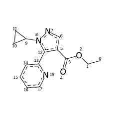 CCOC(=O)c1cnn(C2CC2)c1-c1ccccn1